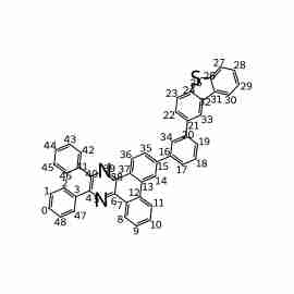 c1ccc(-c2nc3c4ccccc4c4cc(-c5cccc(-c6ccc7sc8ccccc8c7c6)c5)ccc4c3nc2-c2ccccc2)cc1